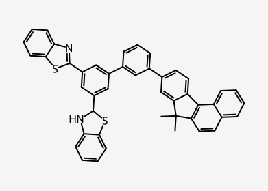 CC1(C)c2cc(-c3cccc(-c4cc(-c5nc6ccccc6s5)cc(C5Nc6ccccc6S5)c4)c3)ccc2-c2c1ccc1ccccc21